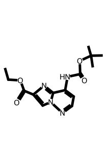 CCOC(=O)c1cn2nccc(NC(=O)OC(C)(C)C)c2n1